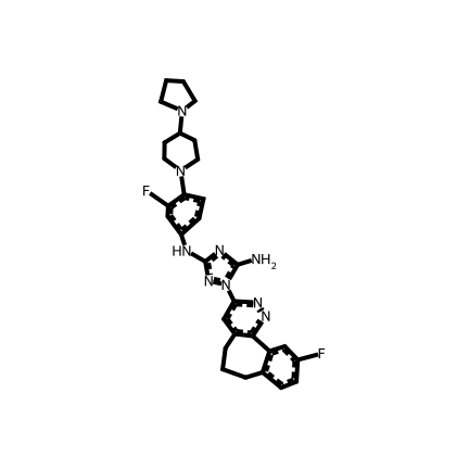 Nc1nc(Nc2ccc(N3CCC(N4CCCC4)CC3)c(F)c2)nn1-c1cc2c(nn1)-c1cc(F)ccc1CCC2